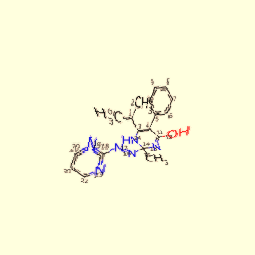 CC(C)C1=C(c2ccccc2)C(O)=NC(C)(N=Nc2ncccn2)N1